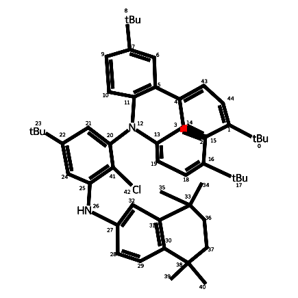 CC(C)(C)c1ccc(-c2cc(C(C)(C)C)ccc2N(c2ccc(C(C)(C)C)cc2)c2cc(C(C)(C)C)cc(Nc3ccc4c(c3)C(C)(C)CCC4(C)C)c2Cl)cc1